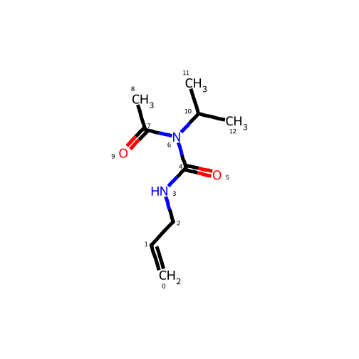 C=CCNC(=O)N(C(C)=O)C(C)C